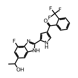 CC(O)c1cc(F)c2nc(-c3cc(C(=O)c4ccccc4C(F)(F)F)c[nH]3)[nH]c2c1